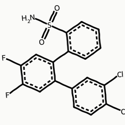 NS(=O)(=O)c1ccccc1-c1cc(F)c(F)cc1-c1ccc(Cl)c(Cl)c1